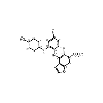 CCOC(=O)N1Cc2sccc2C(Nc2ccc(F)cc2OC2CCC(O)CC2)=C1C